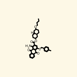 CCCCOC1CCC2C[C@H](OC(=O)c3cc(SCc4ccc(C)cc4)c4c(c3N)C(=O)c3ccccc3C4=O)CC[C@@H]2C1